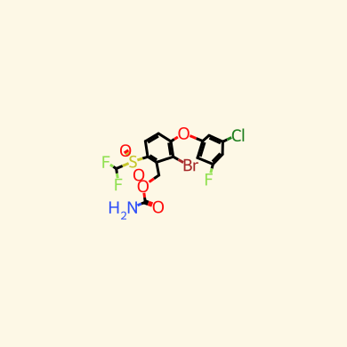 NC(=O)OCc1c(S(=O)(=O)C(F)F)ccc(Oc2cc(F)cc(Cl)c2)c1Br